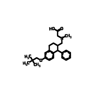 CN(CC(=O)O)CC1CCc2cc(OCC(C)(C)C)ccc2C1c1ccccc1